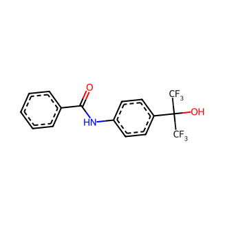 O=C(Nc1ccc(C(O)(C(F)(F)F)C(F)(F)F)cc1)c1ccccc1